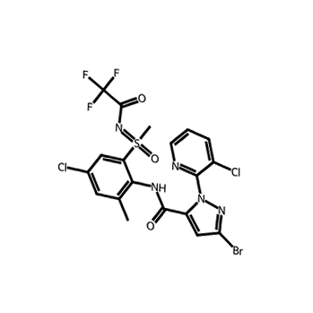 Cc1cc(Cl)cc(S(C)(=O)=NC(=O)C(F)(F)F)c1NC(=O)c1cc(Br)nn1-c1ncccc1Cl